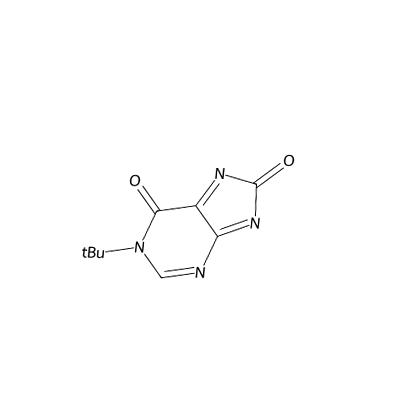 CC(C)(C)n1cnc2c(c1=O)=NC(=O)N=2